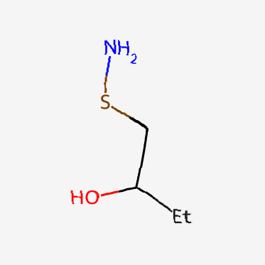 CCC(O)CSN